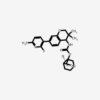 Cc1ccc(-c2ccc3c(c2)OCC(C)(C)C3NC(=O)O[C@H]2CN3CCC2CC3)c(F)n1